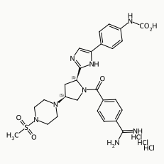 CS(=O)(=O)N1CCN([C@H]2C[C@@H](c3ncc(-c4ccc(NC(=O)O)cc4)[nH]3)N(C(=O)c3ccc(C(=N)N)cc3)C2)CC1.Cl.Cl.Cl